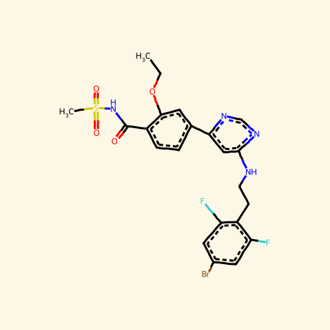 CCOc1cc(-c2cc(NCCc3c(F)cc(Br)cc3F)ncn2)ccc1C(=O)NS(C)(=O)=O